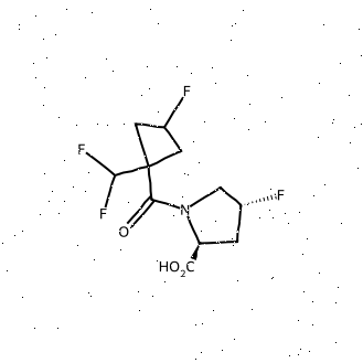 O=C(O)[C@@H]1C[C@@H](F)CN1C(=O)C1(C(F)F)CC(F)C1